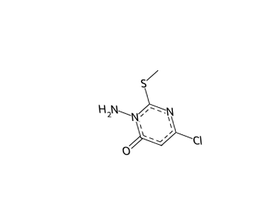 CSc1nc(Cl)cc(=O)n1N